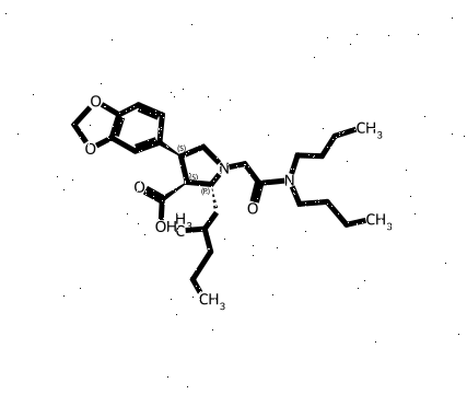 CCCCN(CCCC)C(=O)CN1C[C@H](c2ccc3c(c2)OCO3)[C@H](C(=O)O)[C@H]1CC(C)CCC